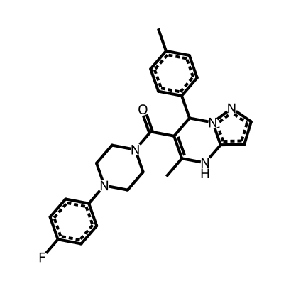 CC1=C(C(=O)N2CCN(c3ccc(F)cc3)CC2)C(c2ccc(C)cc2)n2nccc2N1